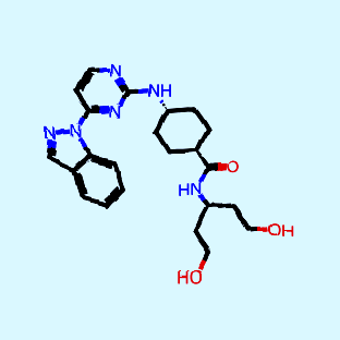 O=C(NC(CCO)CCO)[C@H]1CC[C@H](Nc2nccc(-n3ncc4ccccc43)n2)CC1